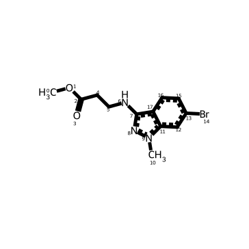 COC(=O)CCNc1nn(C)c2cc(Br)ccc12